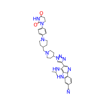 CC(C)Nc1c(-c2cn(C3CCN(CC4CCN(c5ccc(N6CCC(=O)NC6=O)cc5)CC4)CC3)nn2)cnc2c1[nH]c1cc(C#N)ccc12